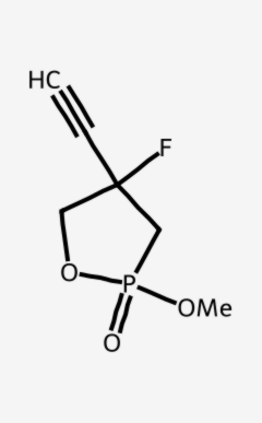 C#CC1(F)COP(=O)(OC)C1